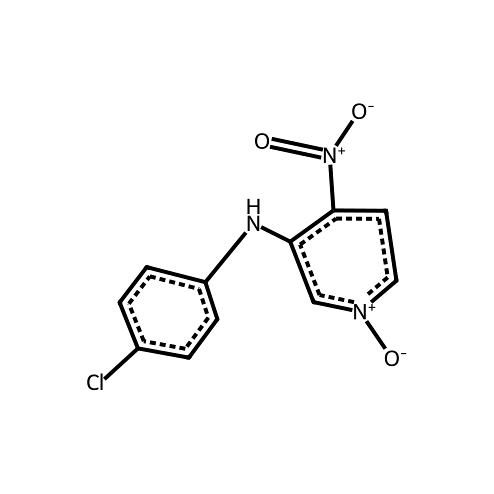 O=[N+]([O-])c1cc[n+]([O-])cc1Nc1ccc(Cl)cc1